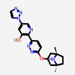 C[C@]12CC[C@@](C)(CC(Oc3ccc(-c4ncc(-n5ccnn5)cc4O)nn3)C1)N2